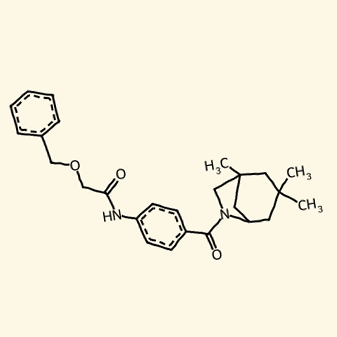 CC1(C)CC2CC(C)(CN2C(=O)c2ccc(NC(=O)COCc3ccccc3)cc2)C1